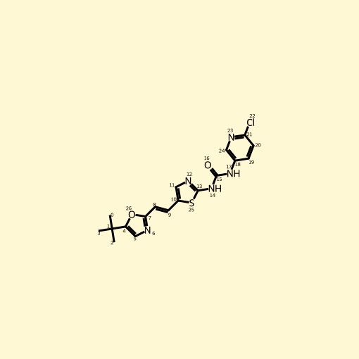 CC(C)(C)c1cnc(C=Cc2cnc(NC(=O)Nc3ccc(Cl)nc3)s2)o1